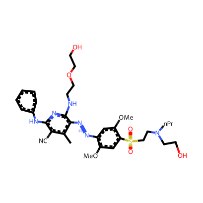 CCCN(CCO)CCS(=O)(=O)c1cc(OC)c(/N=N/c2c(NCCOCCO)nc(Nc3ccccc3)c(C#N)c2C)cc1OC